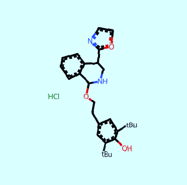 CC(C)(C)c1cc(CCOC2NCC(c3ncco3)c3ccccc32)cc(C(C)(C)C)c1O.Cl